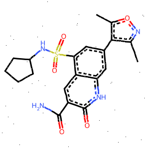 Cc1noc(C)c1-c1cc(S(=O)(=O)NC2CCCC2)c2cc(C(N)=O)c(=O)[nH]c2c1